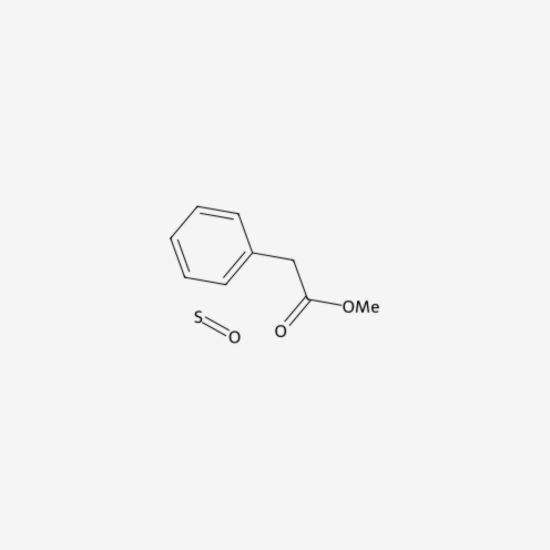 COC(=O)Cc1ccccc1.O=S